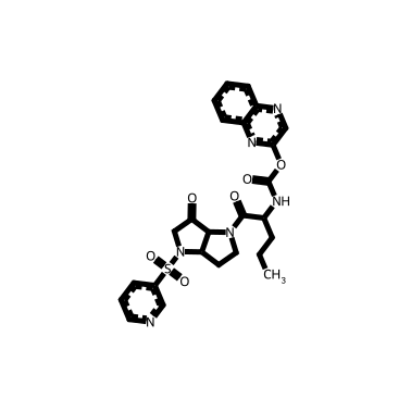 CCCC(NC(=O)Oc1cnc2ccccc2n1)C(=O)N1CCC2C1C(=O)CN2S(=O)(=O)c1cccnc1